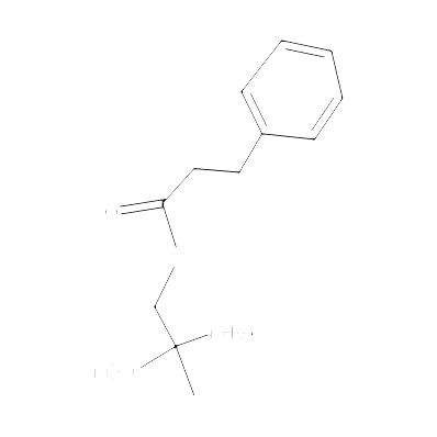 CCCCCCCCC(C)(CCCCCC)COC(=O)CCc1ccccc1